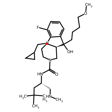 CNC[C@H](CC(C)(C)C)NC(=O)N1CCC[C@@H](C(O)(CCCCOC)c2cccc(F)c2OCC2CC2)C1